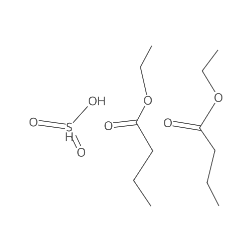 CCCC(=O)OCC.CCCC(=O)OCC.O=[SH](=O)O